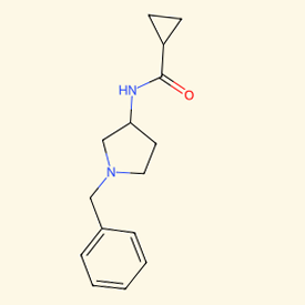 O=C(NC1CCN(Cc2ccccc2)C1)C1CC1